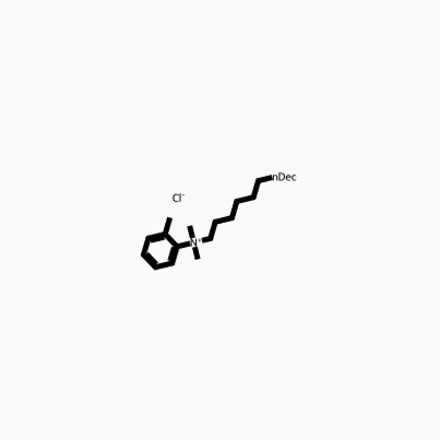 CCCCCCCCCCCCCCCC[N+](C)(C)c1ccccc1C.[Cl-]